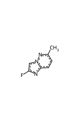 Cc1ccc2nc(F)cn2n1